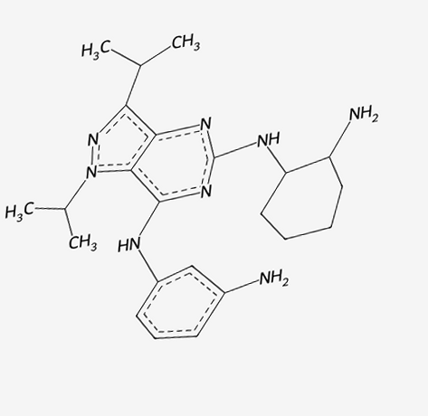 CC(C)c1nn(C(C)C)c2c(Nc3cccc(N)c3)nc(NC3CCCCC3N)nc12